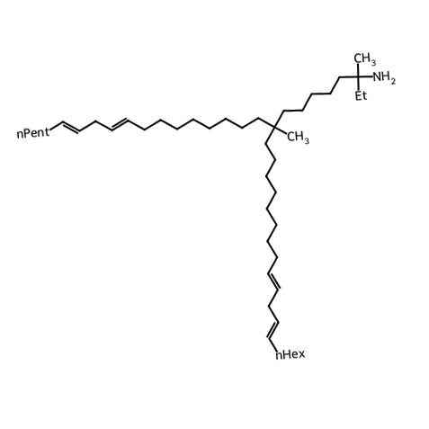 CCCCCC=CCC=CCCCCCCCCC(C)(CCCCCCCCC=CCC=CCCCCCC)CCCCCC(C)(N)CC